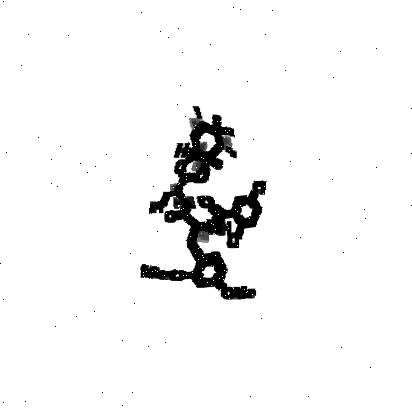 COc1ccc(C[C@H](NC(=O)c2cc(Cl)ccc2Cl)C(=O)N[C@@H](CC(C)C)B2O[C@@H]3C[C@H](C)C(C)(C)[C@H](C)[C@]3(C)O2)c(OC)c1